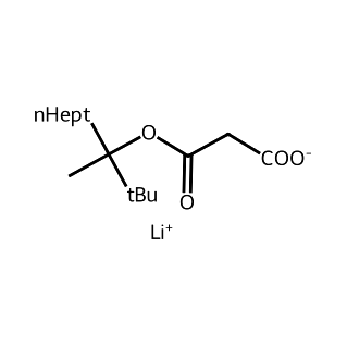 CCCCCCCC(C)(OC(=O)CC(=O)[O-])C(C)(C)C.[Li+]